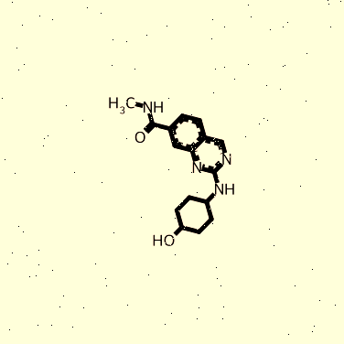 CNC(=O)c1ccc2cnc(NC3CCC(O)CC3)nc2c1